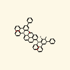 CC1C(F)=C(N(c2ccccc2)c2ccc3c4c2C=CC2=CC=C(N(c5ccccc5)c5c(F)cc(-c6ccccc6)cc5-c5ccccc5)C(C=C3)C24)C(c2ccccc2)=CC1c1ccccc1